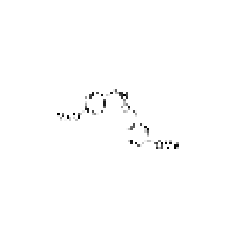 COc1ccc(/[C]=N\OCc2cccc(OC)c2)cc1